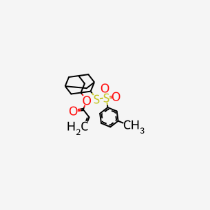 C=CC(=O)OC12CC3CC(CC(C3)C1SS(=O)(=O)c1cccc(C)c1)C2